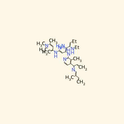 C=C/C(C)=C/N=C(\C=C)c1ccnc(NC(/C=C(\N)NC(=C)/C=C(/C)N(C)C)=C(N)\C(=C\CC)NCC)c1C